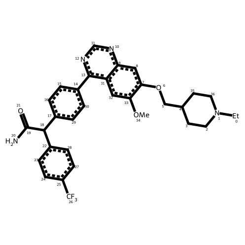 CCN1CCC(COc2cc3ncnc(-c4ccc(C(C(N)=O)c5ccc(C(F)(F)F)cc5)cc4)c3cc2OC)CC1